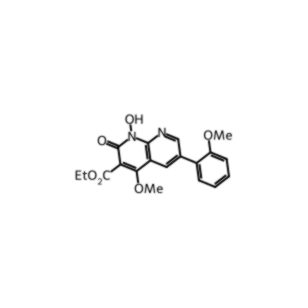 CCOC(=O)c1c(OC)c2cc(-c3ccccc3OC)cnc2n(O)c1=O